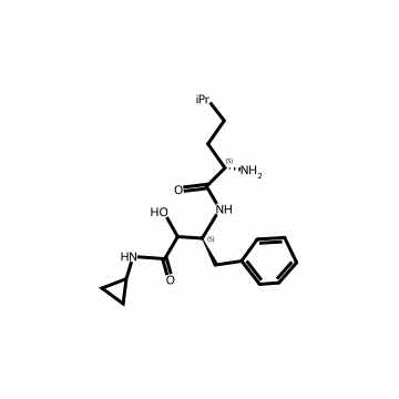 CC(C)CC[C@H](N)C(=O)N[C@@H](Cc1ccccc1)C(O)C(=O)NC1CC1